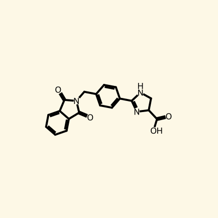 O=C(O)C1CNC(c2ccc(CN3C(=O)c4ccccc4C3=O)cc2)=N1